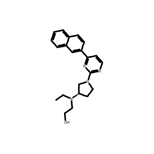 CCN(CCO)[C@@H]1CCN(c2nccc(-c3ccc4ccccc4c3)n2)C1